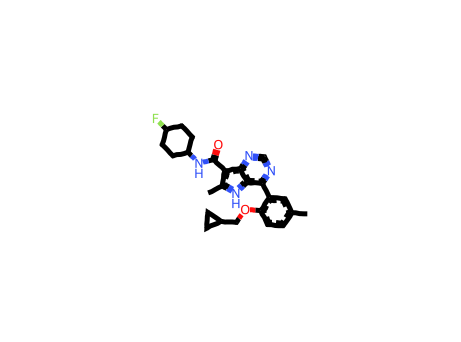 Cc1ccc(OCC2CC2)c(-c2ncnc3c(C(=O)NC4CCC(F)CC4)c(C)[nH]c23)c1